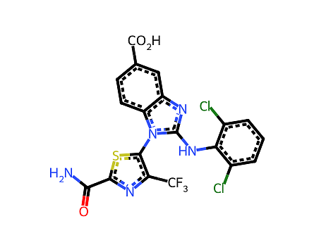 NC(=O)c1nc(C(F)(F)F)c(-n2c(Nc3c(Cl)cccc3Cl)nc3cc(C(=O)O)ccc32)s1